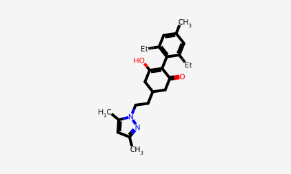 CCc1cc(C)cc(CC)c1C1=C(O)CC(CCn2nc(C)cc2C)CC1=O